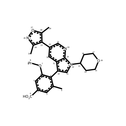 Cc1cc(C(=O)O)cc(OC(C)C)c1-c1cn(C2CCOCC2)c2ncc(-c3c(C)noc3C)cc12